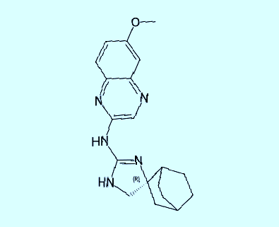 COc1ccc2nc(NC3=N[C@]4(CN3)CC3CCC4CC3)cnc2c1